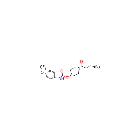 CC(C)(C)CCC(=O)N1CCC(OC(=O)Nc2ccc(OC(F)(F)F)cc2)CC1